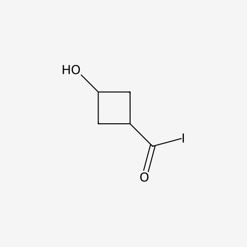 O=C(I)C1CC(O)C1